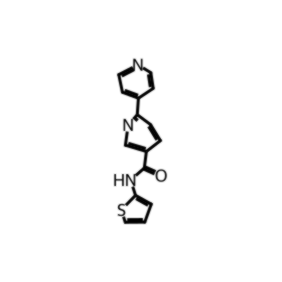 O=C(Nc1cccs1)c1ccc(-c2ccncc2)nc1